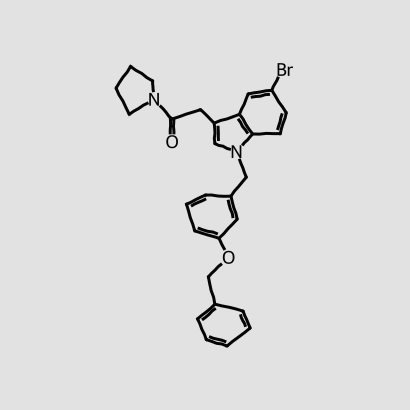 O=C(Cc1cn(Cc2cccc(OCc3ccccc3)c2)c2ccc(Br)cc12)N1CCCC1